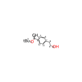 C=C(OC(C)(C)C)c1ccc(CCO)cc1